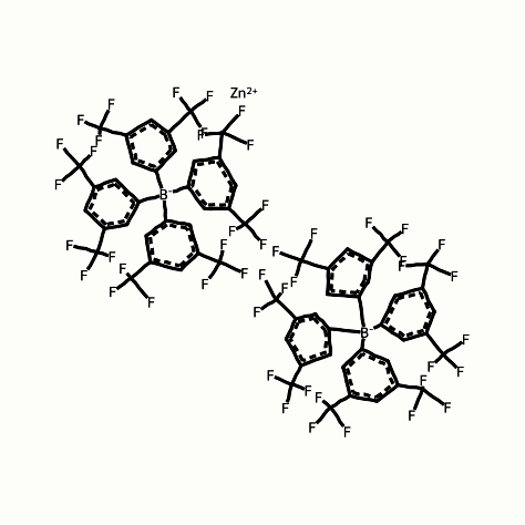 FC(F)(F)c1cc([B-](c2cc(C(F)(F)F)cc(C(F)(F)F)c2)(c2cc(C(F)(F)F)cc(C(F)(F)F)c2)c2cc(C(F)(F)F)cc(C(F)(F)F)c2)cc(C(F)(F)F)c1.FC(F)(F)c1cc([B-](c2cc(C(F)(F)F)cc(C(F)(F)F)c2)(c2cc(C(F)(F)F)cc(C(F)(F)F)c2)c2cc(C(F)(F)F)cc(C(F)(F)F)c2)cc(C(F)(F)F)c1.[Zn+2]